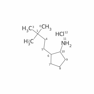 CC(C)(C)CCC1CCCC1N.Cl